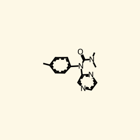 Cc1ccc(N(C(=O)N(C)C)c2cnccn2)cc1